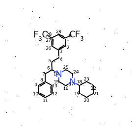 FC(F)(F)c1cc(C[CH]C(Cc2ccccc2)N2CCN(C3CCCCC3)CC2)cc(C(F)(F)F)c1